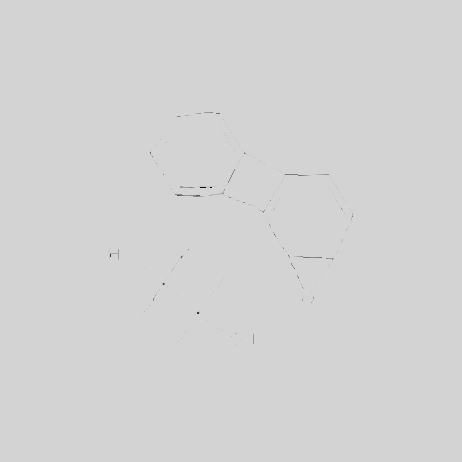 C1=CC2OC2C2=C1c1ccccc12.CC(C)(O)C(C)(C)O